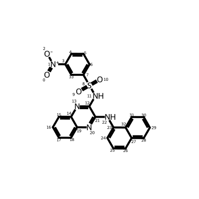 O=[N+]([O-])c1cccc(S(=O)(=O)Nc2nc3ccccc3nc2Nc2cccc3ccccc23)c1